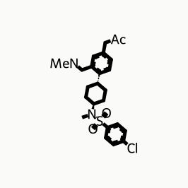 CNCc1cc(CC(C)=O)ccc1[C@H]1CC[C@H](N(C)S(=O)(=O)c2ccc(Cl)cc2)CC1